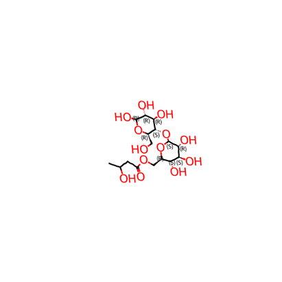 CC(O)CC(=O)OC[C@H]1O[C@@H](O[C@H]2[C@H](O)[C@@H](O)[C@H](O)O[C@@H]2CO)[C@H](O)[C@@H](O)[C@@H]1O